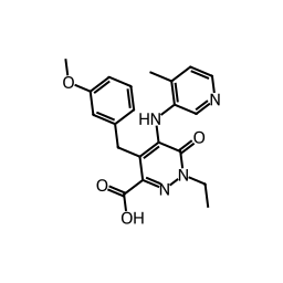 CCn1nc(C(=O)O)c(Cc2cccc(OC)c2)c(Nc2cnccc2C)c1=O